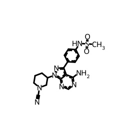 CS(=O)(=O)Nc1ccc(-c2nn(C3CCCN(C#N)C3)c3ncnc(N)c23)cc1